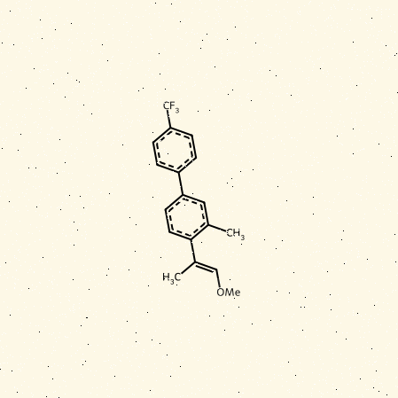 COC=C(C)c1ccc(-c2ccc(C(F)(F)F)cc2)cc1C